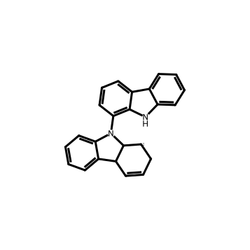 [C]1CC=CC2c3ccccc3N(c3cccc4c3[nH]c3ccccc34)C12